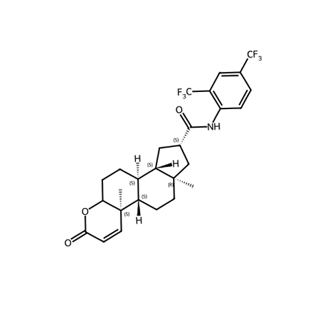 C[C@]12CC[C@H]3[C@@H](CCC4OC(=O)C=C[C@@]43C)[C@@H]1C[C@H](C(=O)Nc1ccc(C(F)(F)F)cc1C(F)(F)F)C2